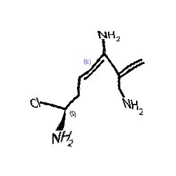 C=C(N)/C(N)=C\C[C@@H](N)Cl